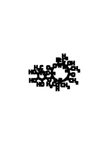 CC[C@H]1OC(=O)[C@H](C)[C@@H](OC2OC(C)C(O)C(O)C2O)[C@H](C)[C@](C)(O)C[C@@H](C)C(=O)[C@H](C)[C@@H](O)[C@H]1C